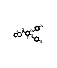 COc1ccc(COc2cc(C(=O)N3CCN4CCC[C@H]4C3)cc(Cl)c2OCc2ccc(OC)cc2)cc1